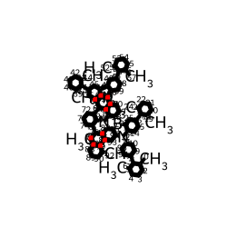 Cc1cccc(C)c1-c1ccc(N2c3ccc(-c4c(C)cccc4C)cc3B3c4ccc(-n5c6ccc(-c7c(C)cccc7C)cc6c6cc(-c7c(C)cccc7C)ccc65)cc4N(c4c(-c5ccccc5)cccc4-c4ccccc4)c4cc(-c5c(C)cccc5C)cc2c43)cc1